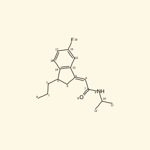 CCCC1CC(=CC(=O)NC(C)C)c2cc(F)ccc21